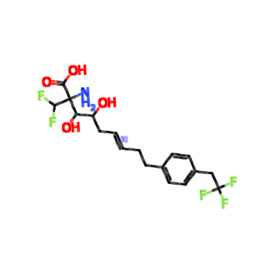 NC(C(=O)O)(C(F)F)C(O)C(O)C/C=C/CCc1ccc(CC(F)(F)F)cc1